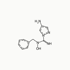 N=C(N(O)Cc1ccccc1)n1cc(N)cn1